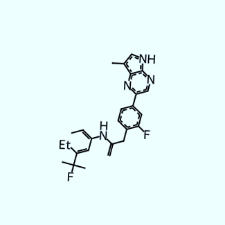 C=C(Cc1ccc(-c2cnc3[nH]cc(C)c3n2)cc1F)NC(=C/C)/C=C(\CC)C(C)(C)F